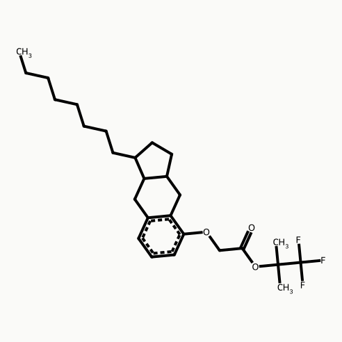 CCCCCCCCC1CCC2Cc3c(cccc3OCC(=O)OC(C)(C)C(F)(F)F)CC12